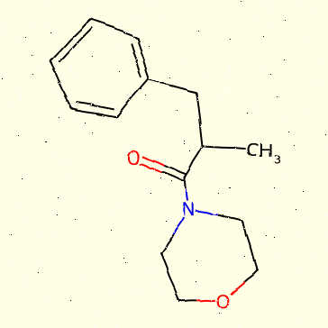 CC(Cc1ccccc1)C(=O)N1CCOCC1